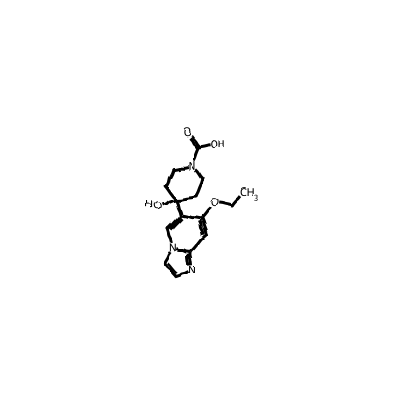 CCOc1cc2nccn2cc1C1(O)CCN(C(=O)O)CC1